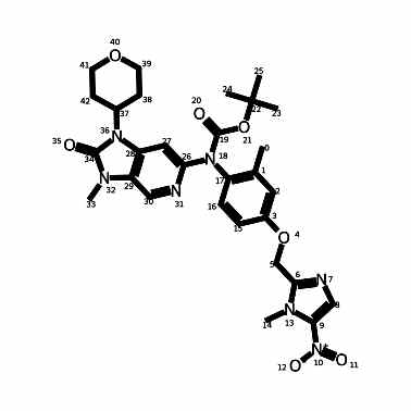 Cc1cc(OCc2ncc([N+](=O)[O-])n2C)ccc1N(C(=O)OC(C)(C)C)c1cc2c(cn1)n(C)c(=O)n2C1CCOCC1